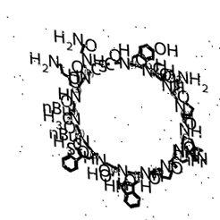 CCCC[C@H]1C(=O)N(C)[C@@H](CCCC)C(=O)N[C@@H](CCCCN)C(=O)N[C@H](C(=O)NCC(N)=O)CSCC(=O)N[C@@H](Cc2ccc(O)cc2)C(=O)N(C)[C@@H](C)C(=O)N[C@@H](CC(N)=O)C(=O)N2CCC[C@H]2C(=O)N[C@@H](Cc2cnc[nH]2)C(=O)N[C@@H](CC(C)C)C(=O)N2CCC[C@H]2C(=O)N[C@@H](Cc2c[nH]c3ccccc23)C(=O)N[C@@H](CO)C(=O)N[C@@H](Cc2csc3ccccc23)C(=O)N1C